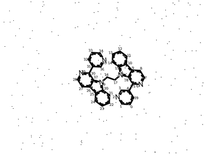 c1cncc(-c2nccc3c4ccccc4n(CCn4c5ccccc5c5ccnc(-c6cccnc6)c54)c23)c1